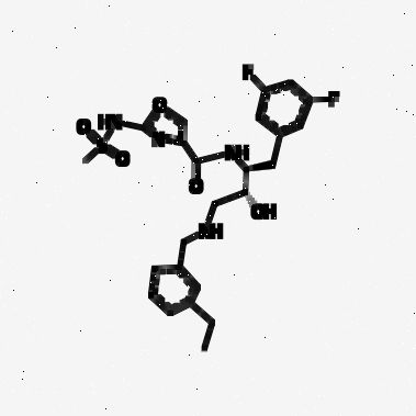 CCc1cccc(CNC[C@@H](O)[C@H](Cc2cc(F)cc(F)c2)NC(=O)c2coc(NS(C)(=O)=O)n2)c1